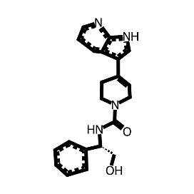 O=C(N[C@H](CO)c1ccccc1)N1CC=C(c2c[nH]c3ncccc23)CC1